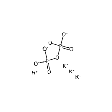 O=P([O-])([O-])OP(=O)([O-])[O-].[H+].[K+].[K+].[K+]